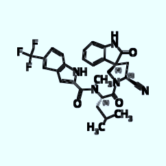 CC(C)C[C@@H](C(=O)N1C[C@]2(C[C@H]1C#N)C(=O)Nc1ccccc12)N(C)C(=O)c1cc2cc(C(F)(F)F)ccc2[nH]1